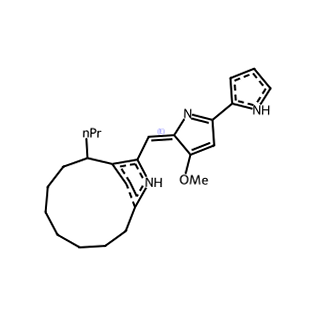 CCCC1CCCCCCCc2cc1c(/C=C1/N=C(c3ccc[nH]3)C=C1OC)[nH]2